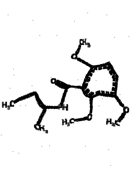 CCC(C)PC(=O)c1c(OC)ccc(OC)c1OC